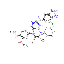 COc1ccc(N2C(=O)[C@@H](C)N(C3CCCCC3)c3nc(Nc4cc(F)c5[nH]ncc5c4)ncc32)cc1OC